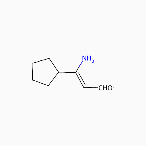 NC(=C[C]=O)C1CCCC1